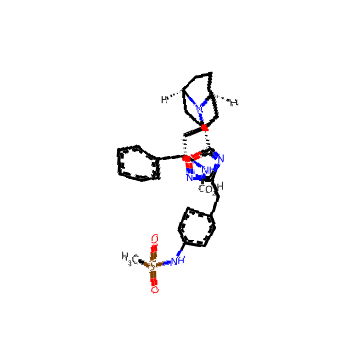 CS(=O)(=O)Nc1ccc(Cc2noc([C@@H]3C[C@H]4CC[C@@H](C3)N4CC[C@H](NC(=O)O)c3ccccc3)n2)cc1